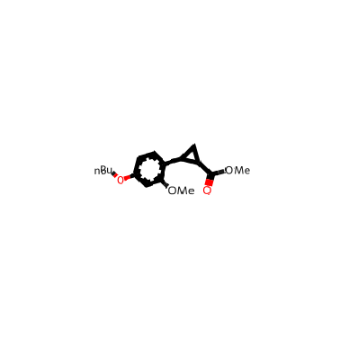 CCCCOc1ccc(C2CC2C(=O)OC)c(OC)c1